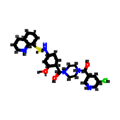 COc1cc(NSc2cccc3cccnc23)ccc1C(=O)N1CCN(C(=O)c2cncc(Cl)c2)CC1